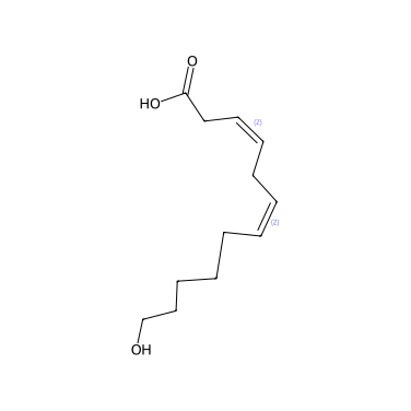 O=C(O)C/C=C\C/C=C\CCCCCO